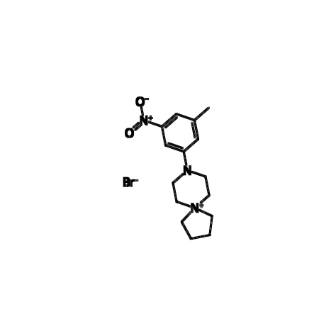 Cc1cc(N2CC[N+]3(CCCC3)CC2)cc([N+](=O)[O-])c1.[Br-]